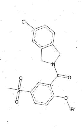 CC(C)Oc1ccc(S(C)(=O)=O)cc1C(=O)N1Cc2ccc(Cl)cc2C1